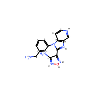 NCc1cccc(-n2c(-c3nonc3N)nc3cnccc32)c1